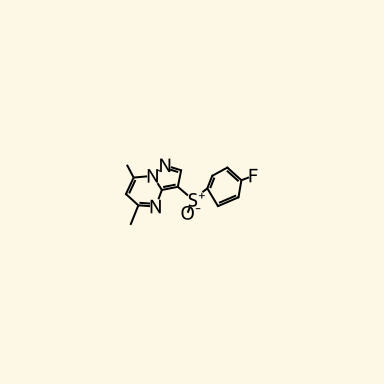 Cc1cc(C)n2ncc([S+]([O-])c3ccc(F)cc3)c2n1